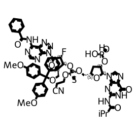 COc1ccc(C(OC[C@H]2O[C@@H](n3nnc4c(NC(=O)c5ccccc5)ncnc43)[C@@H](F)[C@@H]2OP(=S)(OCCC#N)OC[C@@H]2C[C@H](O[PH](=O)O)[C@H](n3cnc4c(=O)[nH]c(NC(=O)C(C)C)nc43)O2)(c2ccccc2)c2ccc(OC)cc2)cc1